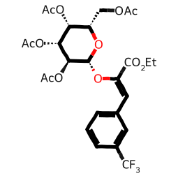 CCOC(=O)/C(=C/c1cccc(C(F)(F)F)c1)O[C@H]1O[C@@H](COC(C)=O)[C@@H](OC(C)=O)[C@@H](OC(C)=O)[C@@H]1OC(C)=O